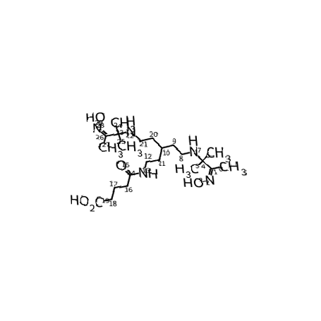 C/C(=N/O)C(C)(C)NCCC(CCNC(=O)CCCC(=O)O)CCNC(C)(C)/C(C)=N\O